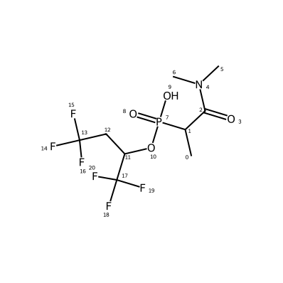 CC(C(=O)N(C)C)P(=O)(O)OC(CC(F)(F)F)C(F)(F)F